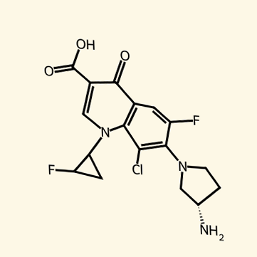 N[C@H]1CCN(c2c(F)cc3c(=O)c(C(=O)O)cn(C4CC4F)c3c2Cl)C1